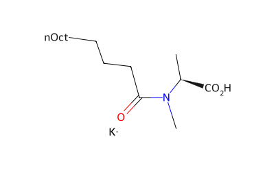 CCCCCCCCCCCC(=O)N(C)[C@@H](C)C(=O)O.[K]